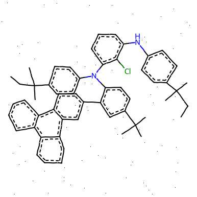 CCC(C)(C)c1ccc(Nc2cccc(N(c3ccc(C(C)(C)CC)cc3)c3ccc(C(C)(C)C)cc3-c3ccc4c5ccccc5c5ccccc5c4c3)c2Cl)cc1